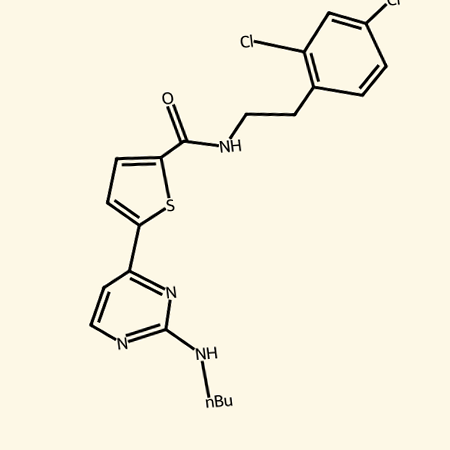 CCCCNc1nccc(-c2ccc(C(=O)NCCc3ccc(Cl)cc3Cl)s2)n1